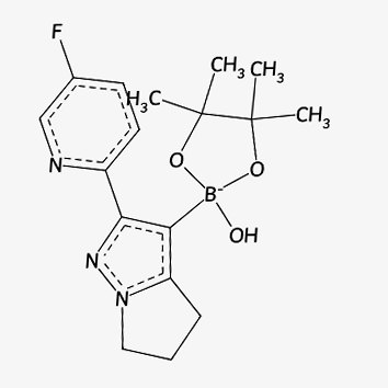 CC1(C)O[B-](O)(c2c(-c3ccc(F)cn3)nn3c2CCC3)OC1(C)C